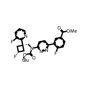 COC(=O)c1ccc(F)c(-c2ccc(N(C[C@]3(c4ncccc4F)C[C@H](F)C3)C(=O)OC(C)(C)C)nn2)c1